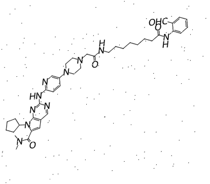 CN(C)C(=O)c1cc2cnc(Nc3ccc(N4CCN(CC(=O)NCCCCCCCC(=O)Nc5ccccc5C=O)CC4)cn3)nc2n1C1CCCC1